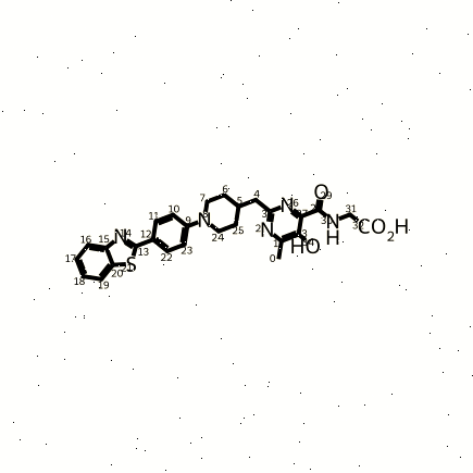 Cc1nc(CC2CCN(c3ccc(-c4nc5ccccc5s4)cc3)CC2)nc(C(=O)NCC(=O)O)c1O